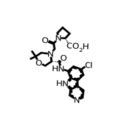 CC1(C)CN(CC(=O)N2CCC[C@@H]2C(=O)O)[C@H](C(=O)Nc2cc(Cl)cc3c2[nH]c2cnccc23)CO1